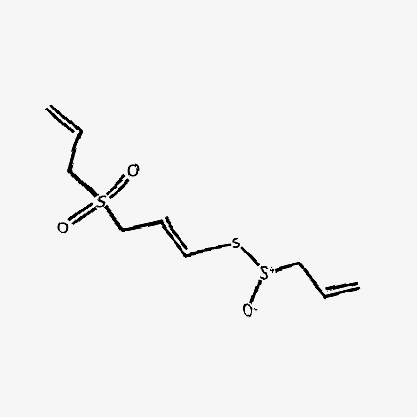 C=CC[S+]([O-])S/C=C/CS(=O)(=O)CC=C